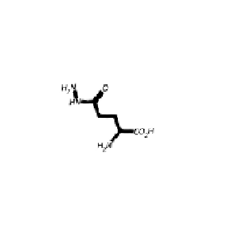 NNC(=O)CCC(N)C(=O)O